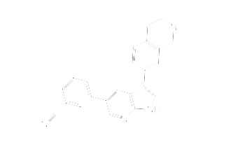 N#Cc1cccc(-c2cnc3[nH]cc(-c4ccc5c(c4)CNCC5)c3c2)c1